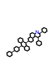 c1ccc(-c2ccc(-c3c4ccccc4c(-c4ccc5c(ccc6nc(-c7ccccc7)cc(-c7ccccc7)c65)c4)c4ccccc34)cc2)cc1